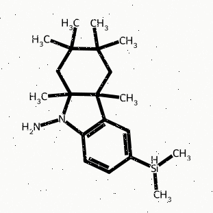 C[SiH](C)c1ccc2c(c1)C1(C)CC(C)(C)C(C)(C)CC1(C)N2N